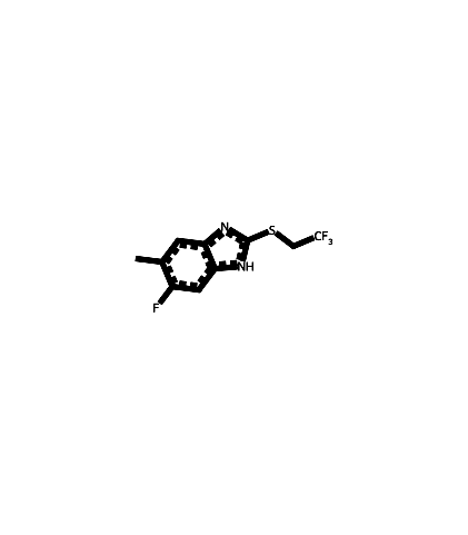 Cc1cc2nc(SCC(F)(F)F)[nH]c2cc1F